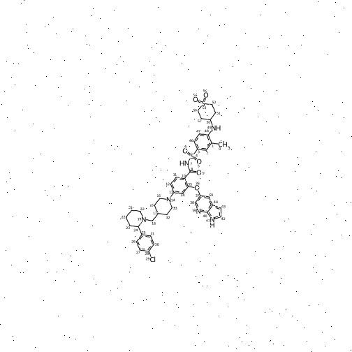 Cc1cc(S(=O)(=O)NC(=O)c2ccc(N3CCC(CN4CCCCC4c4ccc(Cl)cc4)CC3)cc2Oc2cnc3[nH]ccc3c2)ccc1NC1CCS(=O)(=O)CC1